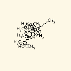 CCCCCCCCOc1c(O[C@@H]2O[C@H](COC(C)=O)[C@H](OC(C)=O)[C@H](OC(C)=O)[C@H]2OC(C)=O)c2ccc(NC(=O)/C=C/c3cc(OC)c(O)c(OC)c3)cc2n(C)c1=O